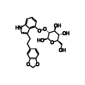 OC[C@H]1O[C@@H](O)[C@H](OOc2cccc3[nH]cc(CCc4ccc5c(c4)OCO5)c23)[C@@H](O)[C@@H]1O